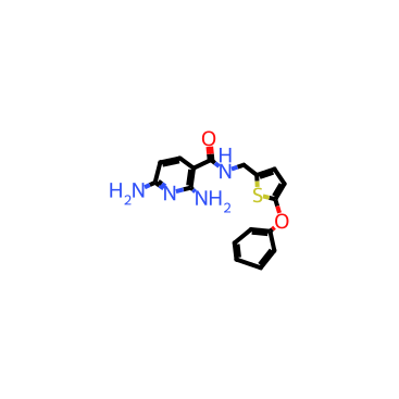 Nc1ccc(C(=O)NCc2ccc(Oc3ccccc3)s2)c(N)n1